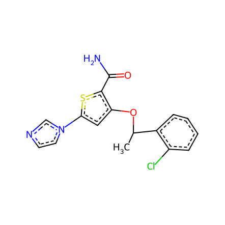 CC(Oc1cc(-n2ccnc2)sc1C(N)=O)c1ccccc1Cl